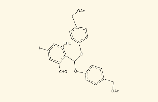 CC(=O)OCc1ccc(OC(Oc2ccc(COC(C)=O)cc2)c2c(C=O)cc(I)cc2C=O)cc1